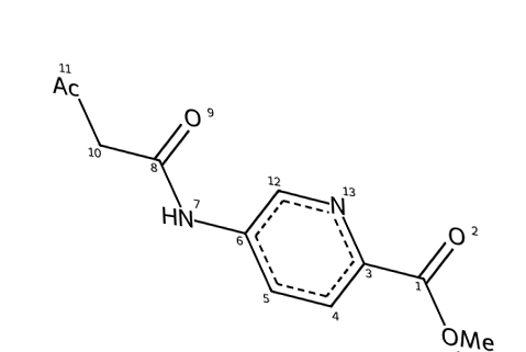 COC(=O)c1ccc(NC(=O)CC(C)=O)cn1